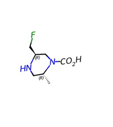 C[C@@H]1CN[C@@H](CF)CN1C(=O)O